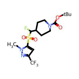 Cn1nc(C(F)(F)F)cc1S(=O)(=O)C(F)C1CCN(C(=O)OC(C)(C)C)CC1